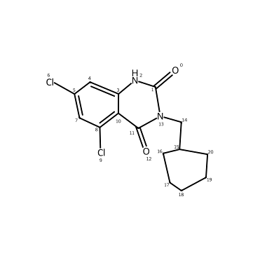 O=c1[nH]c2cc(Cl)cc(Cl)c2c(=O)n1CC1CCCCC1